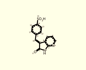 O=C1Nc2ncccc2C1=Cc1ccc(S(=O)(=O)O)cc1